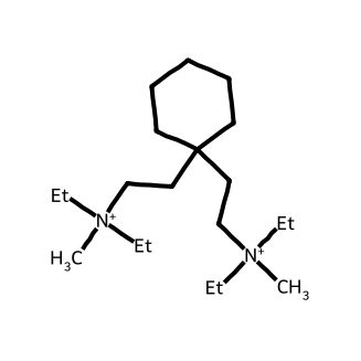 CC[N+](C)(CC)CCC1(CC[N+](C)(CC)CC)CCCCC1